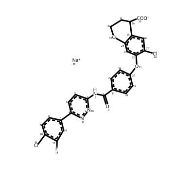 O=C(Nc1ccc(-c2ccc(Cl)c(F)c2)nn1)c1ccc(Oc2cc3c(cc2Cl)C(C(=O)[O-])CCO3)cc1.[Na+]